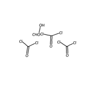 O=C(Cl)Cl.O=C(Cl)Cl.O=C(Cl)Cl.O=CO